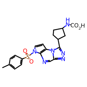 Cc1ccc(S(=O)(=O)n2ccc3c2ncc2nnc(C4CCC(NC(=O)O)C4)n23)cc1